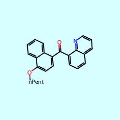 CCCCCOc1ccc(C(=O)c2cccc3cccnc23)c2ccccc12